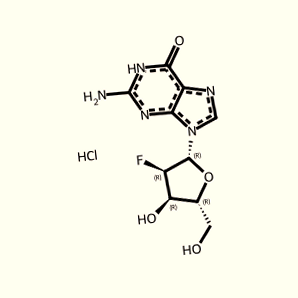 Cl.Nc1nc2c(ncn2[C@@H]2O[C@H](CO)[C@@H](O)[C@H]2F)c(=O)[nH]1